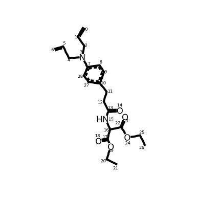 C=CCN(CC=C)c1ccc(CCC(=O)NC(C(=O)OCC)C(=O)OCC)cc1